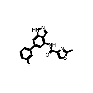 Cc1nc(C(=O)Nc2cc(-c3cccc(F)c3)cc3[nH]ncc23)cs1